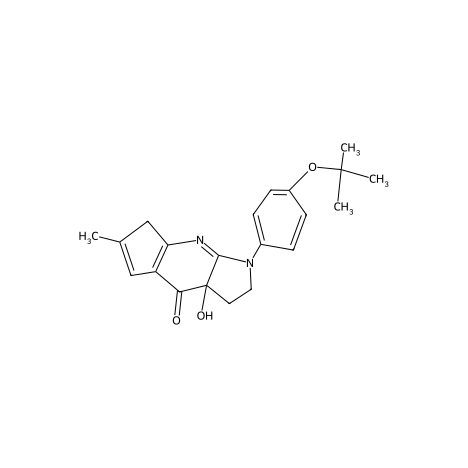 CC1=CC2=C(C1)N=C1N(c3ccc(OC(C)(C)C)cc3)CCC1(O)C2=O